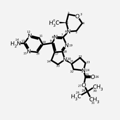 C[C@H]1COCCN1c1nc(-c2cnc(N)nc2)c2c(n1)N([C@H]1CCN(C(=O)OC(C)(C)C)C1)CC2